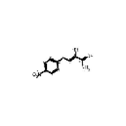 CC/C(=C\Cc1ccc([N+](=O)[O-])cc1)C(N)=O